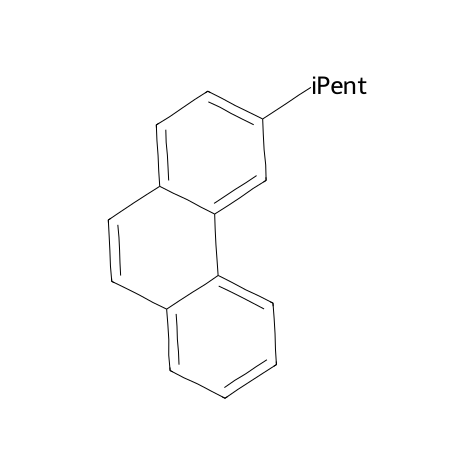 [CH2]C(CCC)c1ccc2ccc3ccccc3c2c1